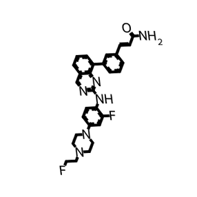 NC(=O)C=Cc1cccc(-c2cccc3cnc(Nc4ccc(N5CCN(CCF)CC5)cc4F)nc23)c1